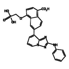 O=C(O)c1ccc(OCP(=O)(O)O)c2cc(-c3cccn4nc(Nc5ccccc5)nc34)ccc12